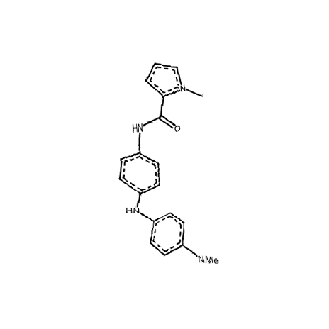 CNc1ccc(Nc2ccc(NC(=O)c3cccn3C)cc2)cc1